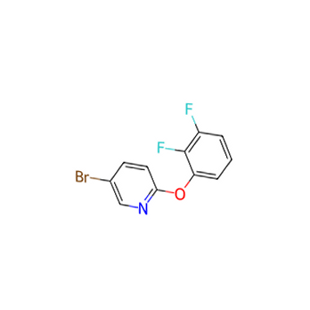 Fc1cccc(Oc2ccc(Br)cn2)c1F